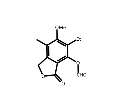 CCc1c(OC)c(C)c2c(c1OC=O)C(=O)OC2